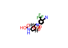 N#Cc1ccc(N2C[C@@H]3[C@@H]4O[C@@H](C[C@@H]4NC(=O)O)[C@@H]3S2(=O)=O)cc1C(F)(F)F